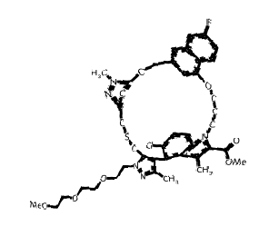 COCCOCCOCCn1nc(C)c2c1CSCc1cc(n(C)n1)CCc1cc(c3ccc(F)cc3c1)OCCCn1c(C(=O)OC)c(C)c3c-2c(Cl)ccc31